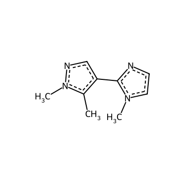 Cc1c(-c2nccn2C)cnn1C